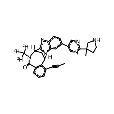 [2H]C([2H])([2H])N1C(=O)c2cccc(C#CC)c2[C@H]2C[C@@H]1c1nc3ccc(-c4cnc(C5(C)CCNC5)nc4)cc3n12